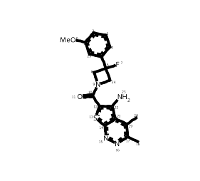 COc1cccc(C2(F)CN(C(=O)c3sc4nnc(C)c(C)c4c3N)C2)c1